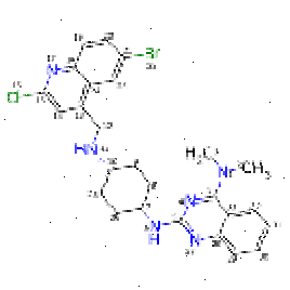 CN(C)c1nc(N[C@H]2CC[C@@H](NCc3cc(Cl)nc4ccc(Br)cc34)CC2)nc2ccccc12